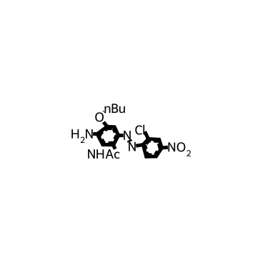 CCCCOc1cc(N=Nc2ccc([N+](=O)[O-])cc2Cl)c(NC(C)=O)cc1N